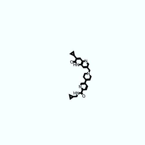 O=C(NCC1CC1)c1ccc(C2=CCN(Cc3cnc4cc(C5CC5)c(=O)[nH]c4c3)CC2)cn1